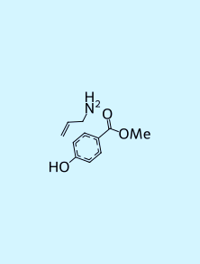 C=CCN.COC(=O)c1ccc(O)cc1